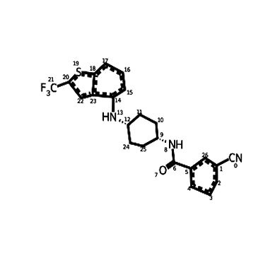 N#Cc1cccc(C(=O)N[C@H]2CC[C@@H](Nc3cccc4sc(C(F)(F)F)cc34)CC2)c1